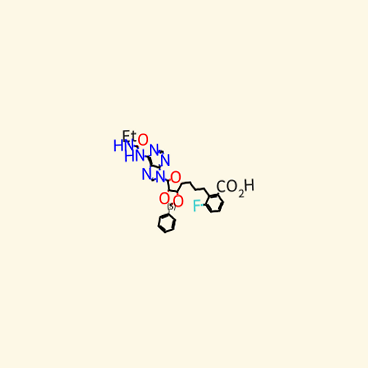 CCNC(=O)Nc1ncnc2c1ncn2C1OC(CCCc2c(F)cccc2C(=O)O)C2O[C@H](c3ccccc3)OC21